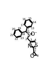 [O-][S+](Cc1csc(C2CO2)n1)C(c1ccccc1)c1ccccc1